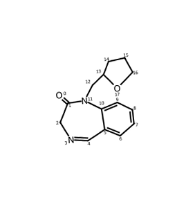 O=C1CN=Cc2ccccc2N1CC1CCCO1